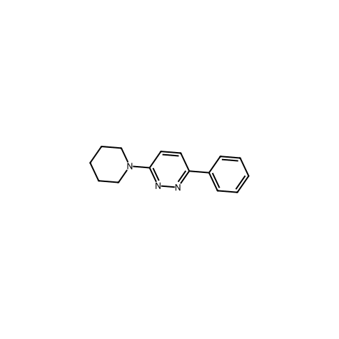 c1ccc(-c2ccc(N3CCCCC3)nn2)cc1